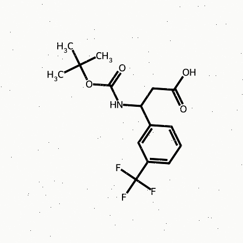 CC(C)(C)OC(=O)NC(CC(=O)O)c1cccc(C(F)(F)F)c1